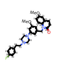 COc1cc(Cn2c(=O)ccc3cc(OC)ccc32)cc(N2CCN(CCc3ccc(F)cc3)CC2)c1